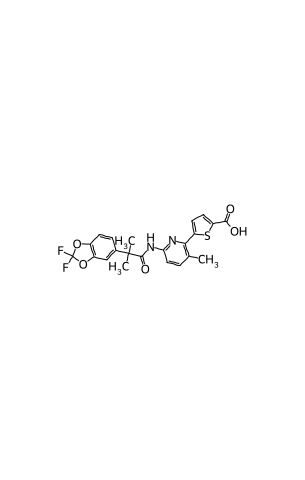 Cc1ccc(NC(=O)C(C)(C)c2ccc3c(c2)OC(F)(F)O3)nc1-c1ccc(C(=O)O)s1